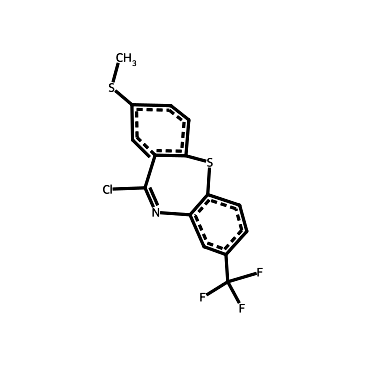 CSc1ccc2c(c1)C(Cl)=Nc1cc(C(F)(F)F)ccc1S2